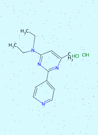 CCN(CC)c1cc(C)nc(-c2ccncc2)n1.Cl.Cl